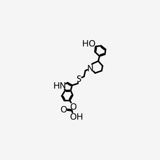 O=C(O)Oc1ccc2[nH]cc(CSCCN3CCCC(c4cccc(O)c4)C3)c2c1